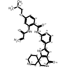 C=CC(=O)Nc1cc(OCN(C)C)ccc1C(=O)Nc1cc(-c2cc3c([nH]2)C2(CCCNC2)CNC3=O)ccn1